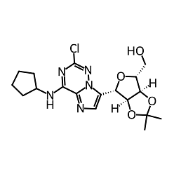 CC1(C)O[C@@H]2[C@H](O1)[C@@H](CO)O[C@H]2c1cnc2c(NC3CCCC3)nc(Cl)nn12